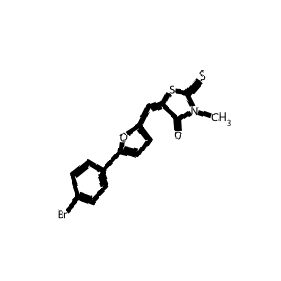 CN1C(=O)/C(=C\c2ccc(-c3ccc(Br)cc3)o2)SC1=S